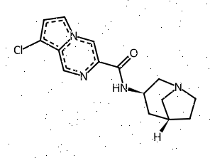 O=C(N[C@@H]1C[C@H]2CCN(C2)C1)c1cn2ccc(Cl)c2cn1